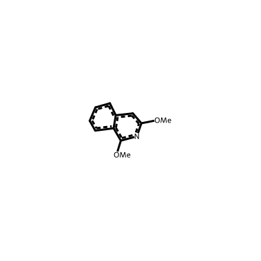 COc1cc2ccccc2c(OC)n1